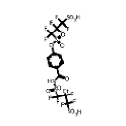 CCC(F)(C(F)(F)S(=O)(=O)O)C(F)(F)S(=O)(=O)NC(=O)c1ccc(OS(=O)(=O)C(F)(F)C(F)(F)C(F)(F)S(=O)(=O)O)cc1